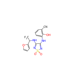 N#Cc1cccc(NC2=NS(=O)(=O)N=C2NC(c2ccco2)C(F)(F)F)c1O